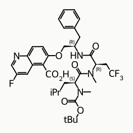 CC(C)C[C@@H](C(=O)N(C)[C@H](CC(F)(F)F)C(=O)N[C@@H](COc1ccc2ncc(F)cc2c1C(=O)O)Cc1ccccc1)N(C)C(=O)OC(C)(C)C